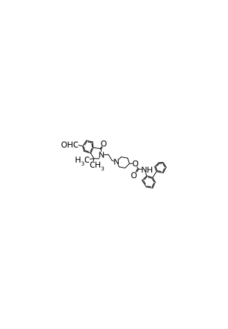 CC1(C)CN(CCN2CCC(OC(=O)Nc3ccccc3-c3ccccc3)CC2)C(=O)c2ccc(C=O)cc21